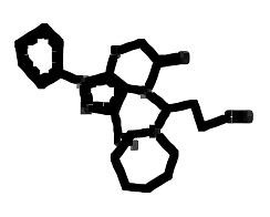 Cc1nn(-c2ccccc2)c2c1N(C(CCC=O)N1CCCCCC1)C(=O)CS2